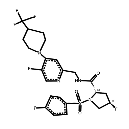 O=C(NCc1cc(N2CCC(C(F)(F)F)CC2)c(F)cn1)[C@@H]1C[C@@H](F)CN1S(=O)(=O)c1ccc(F)cc1